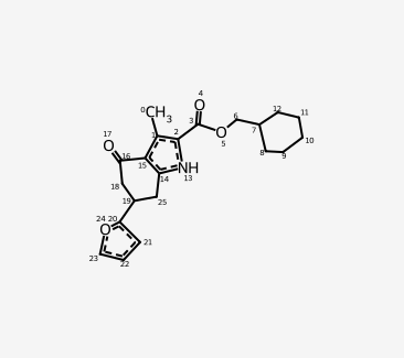 Cc1c(C(=O)OCC2CCCCC2)[nH]c2c1C(=O)CC(c1ccco1)C2